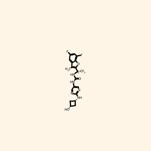 Cc1c([C@@H](NC(=O)Nc2cnc(N[C@H]3C[C@@H](O)C3)nc2)C(F)(F)F)oc2c(F)cc(F)cc12